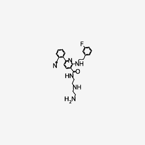 N#Cc1ccccc1-c1ccc(C(=O)NCCNCCN)c(NCCc2cccc(F)c2)n1